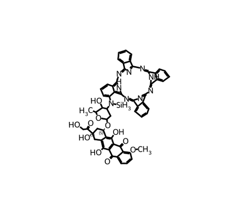 COc1cccc2c1C(=O)c1c(O)c3c(c(O)c1C2=O)C[C@@](O)(C(=O)CO)C[C@@H]3OC1CC(N([SiH3])c2cccc3c4nc5nc(nc6[nH]c(nc7nc(nc([nH]4)c23)-c2ccccc2-7)c2ccccc62)-c2ccccc2-5)C(O)C(C)O1